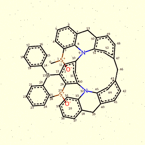 C[S+]([O-])c1cccc2c1N1c3cc(B(c4ccccc4)c4ccccc4)c([S+](C)[O-])c(c3)N3c4ccccc4Cc4ccc(cc43)Cc3ccc(c1c3)C2